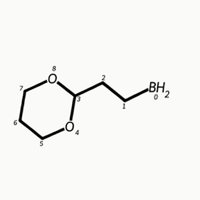 BCCC1OCCCO1